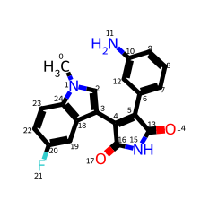 Cn1cc(C2=C(c3cccc(N)c3)C(=O)NC2=O)c2cc(F)ccc21